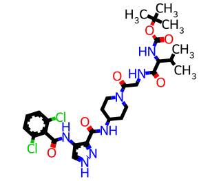 CC(C)C(NC(=O)OC(C)(C)C)C(=O)NCC(=O)N1CCC(NC(=O)c2n[nH]cc2NC(=O)c2c(Cl)cccc2Cl)CC1